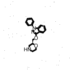 c1ccc(-n2nc(OC[C@@H]3CNCCO3)c3ccccc32)cc1